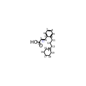 O=C(O)/C=C/c1ccccc1CCCN1CCCCC1